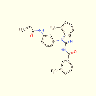 C=CC(=O)Nc1cccc(-n2c(NC(=O)c3cccc(C(F)(F)F)c3)nc3cccc(C)c32)c1